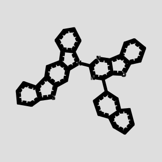 c1ccc2cc(-c3nc(-n4c5ccccc5c5cc6c(cc54)sc4ccccc46)nc4c3oc3ccccc34)ccc2c1